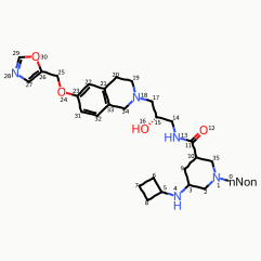 CCCCCCCCCN1CC(NC2CCC2)CC(C(=O)NC[C@H](O)CN2CCc3cc(OCc4cnco4)ccc3C2)C1